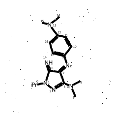 CC(C)N1N=C(N(C)C)C(=Nc2ccc(N(C)C)cc2)C1=N